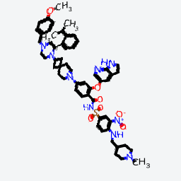 COc1ccc(CN2CCN(C3CC4(CCN(c5ccc(C(=O)NS(=O)(=O)c6ccc(NCC7CCN(C)CC7)c([N+](=O)[O-])c6)c(Oc6cnc7[nH]ccc7c6)c5)CC4)C3)[C@H](c3ccccc3C(C)C)C2)cc1